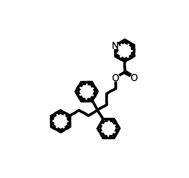 O=C(OCCCC(CCc1ccccc1)(c1ccccc1)c1ccccc1)c1cccnc1